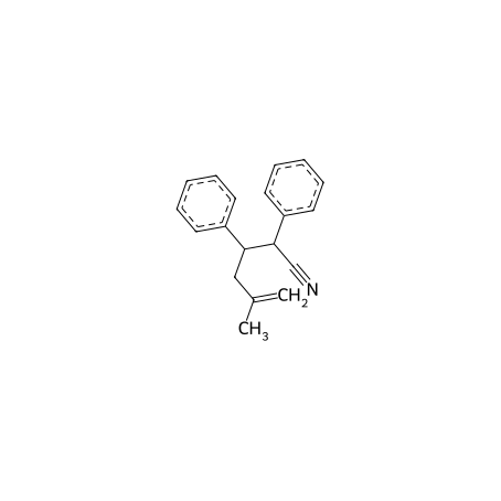 C=C(C)CC(c1ccccc1)C(C#N)c1ccccc1